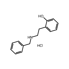 Cl.Oc1ccccc1CCNCc1ccccc1